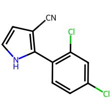 N#Cc1cc[nH]c1-c1ccc(Cl)cc1Cl